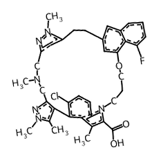 Cc1c(C(=O)O)n2c3ccc(Cl)c(c13)-c1c(nn(C)c1C)CN(C)Cc1cc(n(C)n1)CCc1cc(c3c(F)cccc3c1)OCCC2